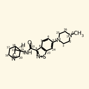 CN1CCN(c2ccc3c(C(=O)N[C@H]4CN5CCC4CC5)nsc3c2)CC1